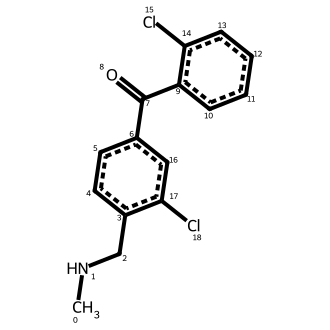 CNCc1ccc(C(=O)c2ccccc2Cl)cc1Cl